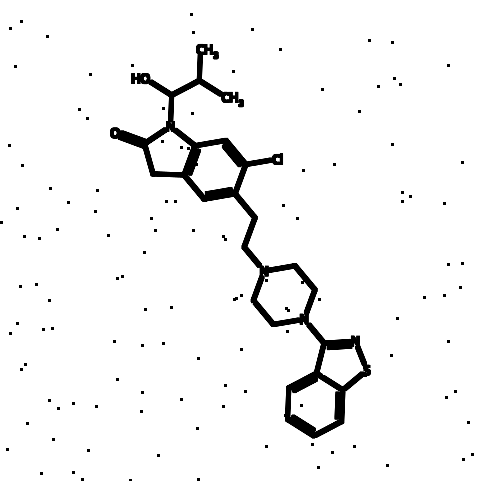 CC(C)C(O)N1C(=O)Cc2cc(CCN3CCN(c4nsc5ccccc45)CC3)c(Cl)cc21